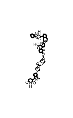 Cc1c(OCCN2CCN(CC(=O)N3CCN(c4ccc5c(C6CCC(=O)NC6=O)nn(C)c5c4)CC3)CC2)cccc1-c1ccc(N2CCc3cccc(C(=O)Nc4nc5ccccc5s4)c3C2)nc1C(=O)O